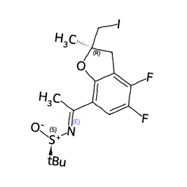 C/C(=N\[S@+]([O-])C(C)(C)C)c1cc(F)c(F)c2c1O[C@@](C)(CI)C2